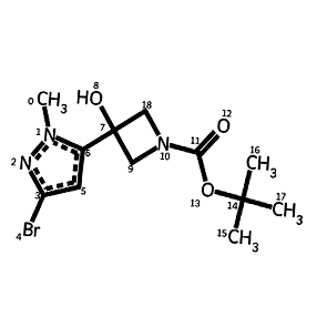 Cn1nc(Br)cc1C1(O)CN(C(=O)OC(C)(C)C)C1